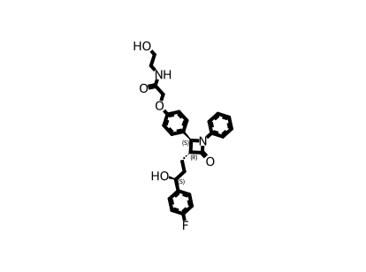 O=C(COc1ccc([C@@H]2[C@@H](CC[C@H](O)c3ccc(F)cc3)C(=O)N2c2ccccc2)cc1)NCCO